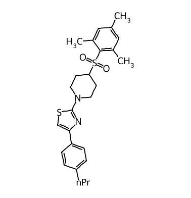 CCCc1ccc(-c2csc(N3CCC(S(=O)(=O)c4c(C)cc(C)cc4C)CC3)n2)cc1